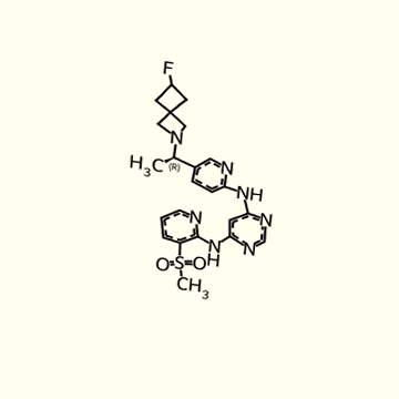 C[C@H](c1ccc(Nc2cc(Nc3ncccc3S(C)(=O)=O)ncn2)nc1)N1CC2(CC(F)C2)C1